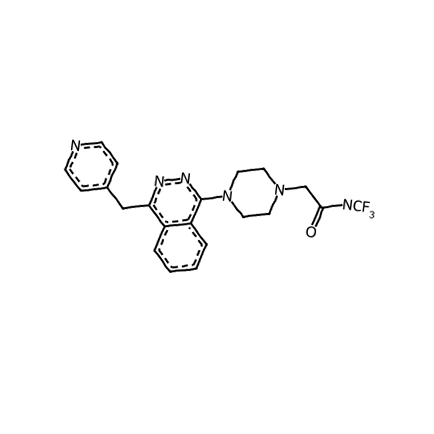 O=C(CN1CCN(c2nnc(Cc3ccncc3)c3ccccc23)CC1)NC(F)(F)F